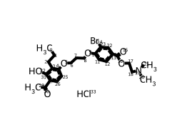 CCCc1c(OCCCOc2ccc(C(=O)OCCN(C)C)cc2Br)ccc(C(C)=O)c1O.Cl